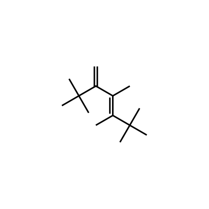 C=C(/C(C)=C(\C)C(C)(C)C)C(C)(C)C